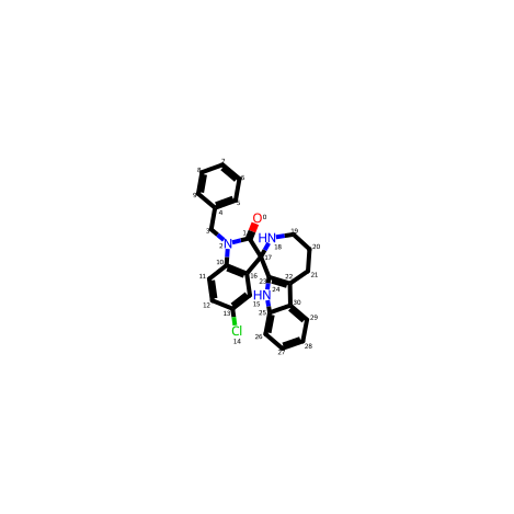 O=C1N(Cc2ccccc2)c2ccc(Cl)cc2C12NCCCc1c2[nH]c2ccccc12